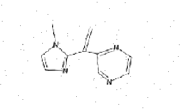 C=C(c1cnccn1)c1nccn1C